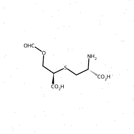 N[C@@H](CS[C@H](COC=O)C(=O)O)C(=O)O